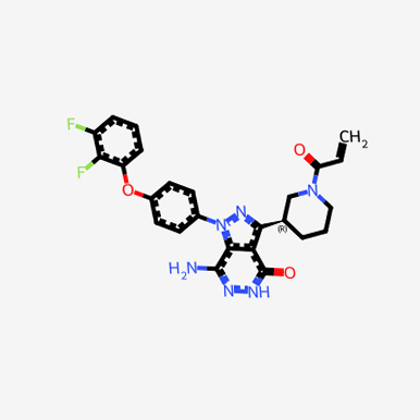 C=CC(=O)N1CCC[C@@H](c2nn(-c3ccc(Oc4cccc(F)c4F)cc3)c3c(N)n[nH]c(=O)c23)C1